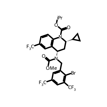 COC(=O)N(Cc1cc(C(F)(F)F)cc(C(F)(F)F)c1Br)[C@H]1C[C@@H](C2CC2)N(C(=O)OC(C)C)c2ccc(C(F)(F)F)cc21